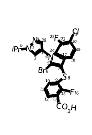 CC(C)n1cc(-n2c(Br)c(Sc3cccc(C(=O)O)c3F)c3ccc(Cl)c(F)c32)cn1